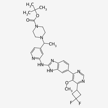 COc1c(-c2ccc3nc(Nc4cc(C(C)N5CCN(C(=O)OC(C)(C)C)CC5)ccn4)[nH]c3c2)ncnc1C1CC(F)(F)C1